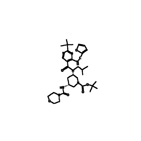 CC(C)CN(C(=O)c1cnc(C(C)(C)C)nc1NCc1ccco1)[C@H]1C[C@@H](NC(=O)N2CCOCC2)CN(C(=O)OC(C)(C)C)C1